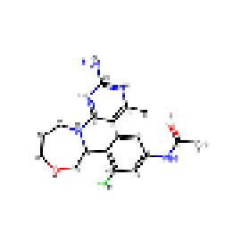 CCCC(=O)Nc1ccc(C2COCCCN2c2cc(C)nc(N)n2)c(Cl)c1